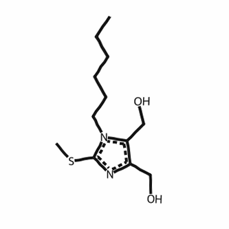 CCCCCCn1c(SC)nc(CO)c1CO